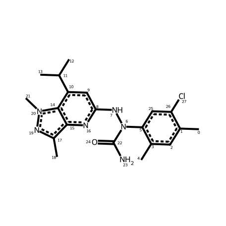 Cc1cc(C)c(N(Nc2cc(C(C)C)c3c(n2)c(C)nn3C)C(N)=O)cc1Cl